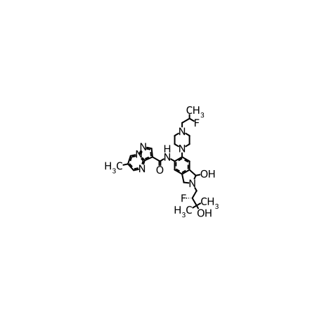 Cc1cnc2c(C(=O)Nc3cc4c(cc3N3CCN(CC(C)F)CC3)C(O)N(C[C@@H](F)C(C)(C)O)C4)cnn2c1